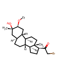 CCO[C@H]1C[C@H]2[C@@H](CC[C@@H]3[C@@H]2CC[C@]2(C)[C@@H](C(=O)CBr)CC[C@@H]32)C[C@]1(C)O